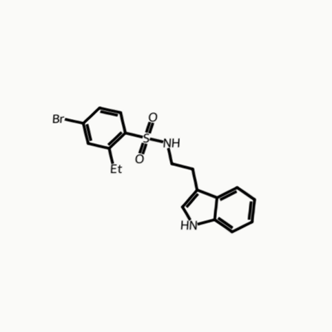 CCc1cc(Br)ccc1S(=O)(=O)NCCc1c[nH]c2ccccc12